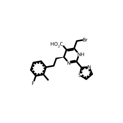 Cc1c(F)cccc1CC[C@@H]1N=C(c2nccs2)NC(CBr)=C1C(=O)O